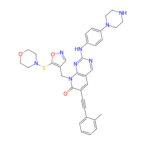 Cc1ccccc1C#Cc1cc2cnc(Nc3ccc(N4CCNCC4)cc3)nc2n(Cc2cnoc2SN2CCOCC2)c1=O